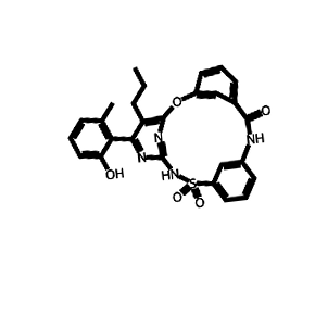 CCCc1c2nc(nc1-c1c(C)cccc1O)NS(=O)(=O)c1cccc(c1)NC(=O)c1cccc(c1)O2